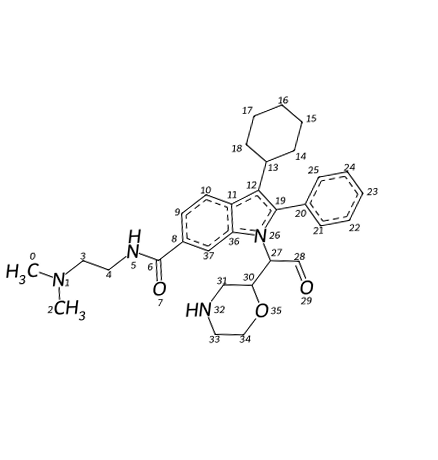 CN(C)CCNC(=O)c1ccc2c(C3CCCCC3)c(-c3ccccc3)n(C(C=O)C3CNCCO3)c2c1